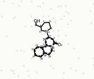 O=c1cc(N2CCCC(CO)C2)nc2c3ccccc3ccn12